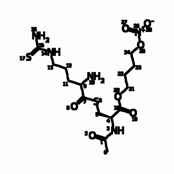 CC(=O)N[C@@H](CSC(=O)C(N)CCCNC(N)=S)C(=O)OCCCCO[N+](=O)[O-]